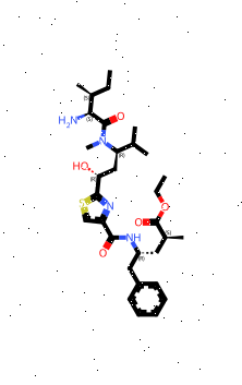 CCOC(=O)[C@@H](C)C[C@H](Cc1ccccc1)NC(=O)c1csc([C@H](O)C[C@H](C(C)C)N(C)C(=O)[C@@H](N)[C@@H](C)CC)n1